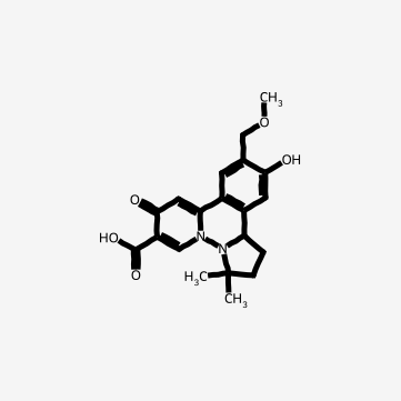 COCc1cc2c(cc1O)C1CCC(C)(C)N1n1cc(C(=O)O)c(=O)cc1-2